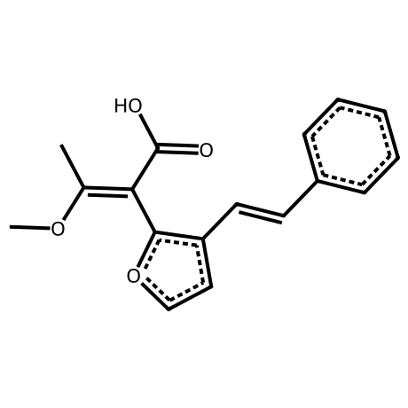 COC(C)=C(C(=O)O)c1occc1C=Cc1ccccc1